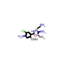 COc1cc(N)c(Cl)cc1C(=O)NN(CCN)C(N)=N[N+](=O)[O-]